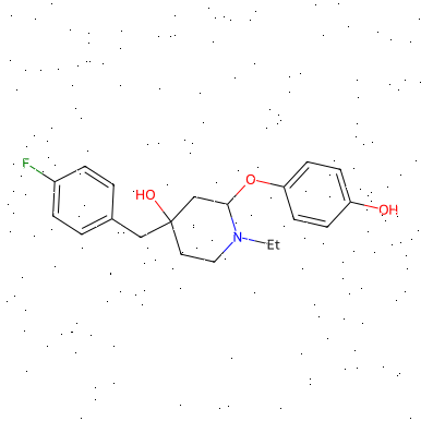 CCN1CCC(O)(Cc2ccc(F)cc2)CC1Oc1ccc(O)cc1